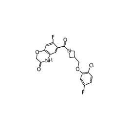 O=C1COc2cc(F)c(C(=O)N3CC(COc4cc(F)ccc4Cl)C3)cc2N1